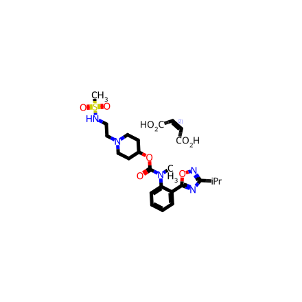 CC(C)c1noc(-c2ccccc2N(C)C(=O)OC2CCN(CCNS(C)(=O)=O)CC2)n1.O=C(O)/C=C\C(=O)O